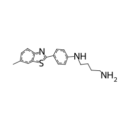 Cc1ccc2nc(-c3ccc(NCCCCN)cc3)sc2c1